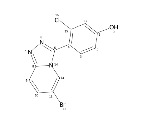 Oc1ccc(-c2nnc3ccc(Br)cn23)c(Cl)c1